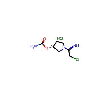 Cl.N=C(CCl)N1CC[C@@H](OC(N)=O)C1